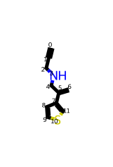 C#CCNCC(=C)c1ccsc1